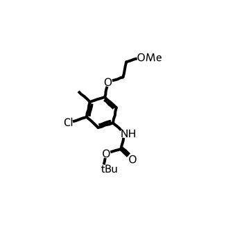 COCCOc1cc(NC(=O)OC(C)(C)C)cc(Cl)c1C